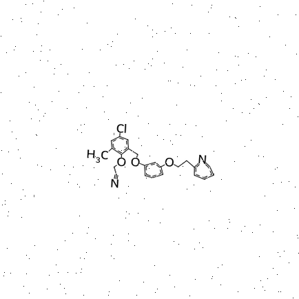 Cc1cc(Cl)cc(COc2cccc(OCCc3ccccn3)c2)c1OCC#N